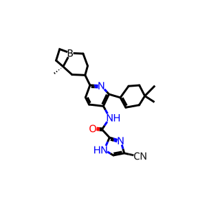 CC1(C)CC=C(c2nc(C3CCB4CC[C@]4(C)C3)ccc2NC(=O)c2nc(C#N)c[nH]2)CC1